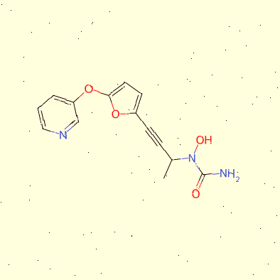 CC(C#Cc1ccc(Oc2cccnc2)o1)N(O)C(N)=O